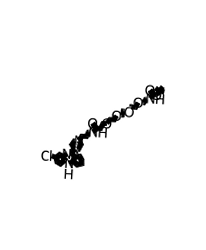 CC(C)(C)OC(=O)NCCOCCOCCOCCOCCC(=O)NCCCN1CCN(C2=Nc3cc(Cl)ccc3Nc3ccccc32)CC1